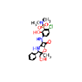 CN(C)S(=O)(=O)c1c(Cl)ccc(NC2=C3NC(c4ccccc4)C(C)(CO)OC3C2=O)c1O